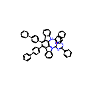 c1ccc(-c2ccc(-c3c(-c4ccc(-c5ccccc5)cc4)c4c5ccccc5n(-c5nc(-c6ccccc6)nc(-c6ccccc6)n5)c4c4c3c3ccccc3n4-c3ccccc3)cc2)cc1